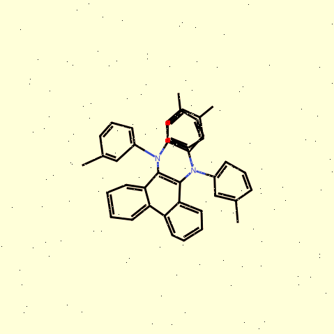 Cc1cccc(N(c2cccc(C)c2)c2c(N(c3cccc(C)c3)c3cccc(C)c3)c3ccccc3c3ccccc23)c1